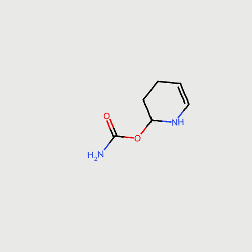 NC(=O)OC1CCC=CN1